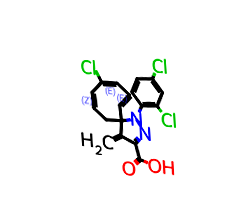 C=C1C(C(=O)O)=NN(c2ccc(Cl)cc2Cl)C12/C=C/C=C(Cl)\C=C/C2